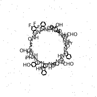 CCCC[C@H]1C(=O)N2C[C@H](O)C[C@@H]2C(=O)N[C@@H](COC=O)C(=O)N[C@@H](C(C)C)C(=O)N(C)[C@@H](Cc2ccccc2)C(=O)N[C@@H](COC=O)C(=O)N2CCC[C@@H]2C(=O)N[C@@H](Cc2c[nH]c3ccccc23)C(=O)N[C@@H](Cc2ccc(O)cc2)C(=O)N[C@@H](CC(C)C)C(=O)N[C@H](C=O)CSCC(=O)N[C@@H](Cc2cc(F)c(F)c(F)c2)C(=O)N(C)[C@@H](Cc2ccccc2)C(=O)N1C